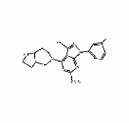 CCOC(=O)c1cc(N2CCC3NCCC3C2)c2c(C(C)C)nn(-c3cccc(C)c3)c2n1